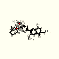 CCn1cc(F)c2cc(-c3ncc(N(C)[C@H]4C[C@@H]5CCC([C@H]4F)N5C(=O)OC(C)(C)C)nn3)c(OC)cc2c1=O